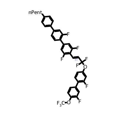 CCCCCc1ccc(-c2ccc(-c3cc(F)c(/C=C/C(F)(F)Oc4ccc(-c5ccc(OC(F)(F)F)c(F)c5)c(F)c4)c(F)c3)c(F)c2)cc1